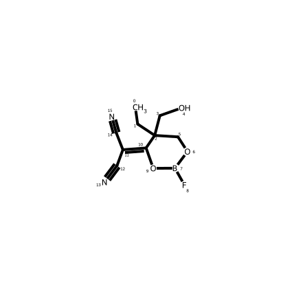 CCC1(CO)COB(F)OC1=C(C#N)C#N